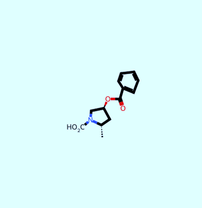 C[C@H]1C[C@H](OC(=O)c2ccccc2)CN1C(=O)O